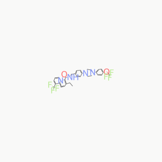 CCC1=C(C(=O)NCc2ccc(N3CCN(c4ccc(OC(F)(F)F)cc4)CC3)cc2)N2C=CC=C(C(F)(F)F)C2=C=C1